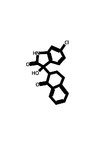 O=C1c2ccccc2CCC1C1(O)C(=O)Nc2cc(Cl)ccc21